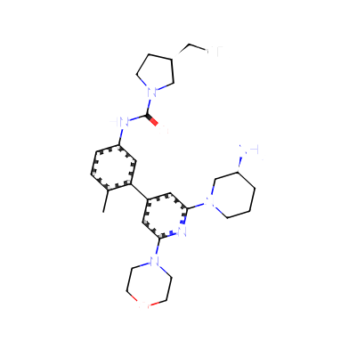 Cc1ccc(NC(=O)N2CC[C@@H](CC(F)(F)F)C2)cc1-c1cc(N2CCOCC2)nc(N2CCC[C@H](N)C2)c1